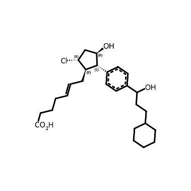 O=C(O)CCCC=CC[C@@H]1[C@@H](c2ccc(C(O)CCC3CCCCC3)cc2)[C@H](O)C[C@H]1Cl